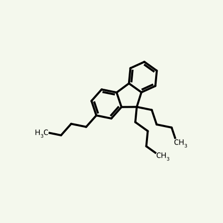 CCCCc1ccc2c(c1)C(CCCC)(CCCC)c1ccccc1-2